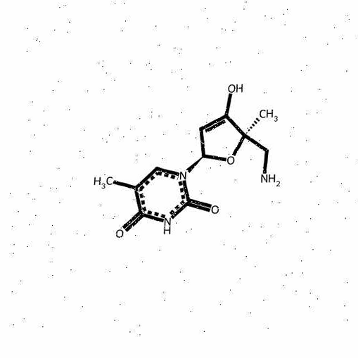 Cc1cn([C@H]2C=C(O)[C@@](C)(CN)O2)c(=O)[nH]c1=O